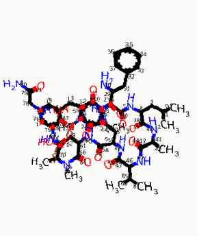 CC(C)CC(NC(=O)CNC(=O)C(Cc1ccccc1)N(C)C(=O)C(C)NC(=O)C(N)Cc1ccccc1)C(=O)NC(C)C(=O)NC(C(=O)NC(Cc1ccccc1)C(=O)NC(CC(O)=S)C(=O)N(C)C(C)C(=O)NC(CNCC(N)=O)C(=O)O)C(C)C